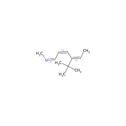 C\C=C(/C=C\C=N/C)C(C)(C)C